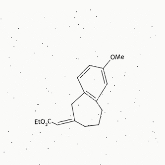 CCOC(=O)C=C1CCCc2cc(OC)ccc2C1